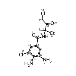 CCC(C)(NC(=O)c1cc(N)c(N)c(Cl)c1)C(=O)CCl